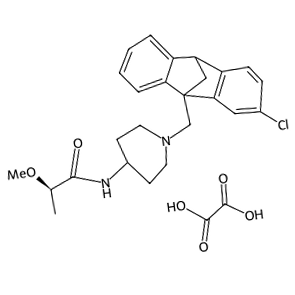 CO[C@H](C)C(=O)NC1CCN(CC23CC(c4ccccc42)c2ccc(Cl)cc23)CC1.O=C(O)C(=O)O